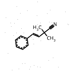 CC(C)(C#N)/C=C/c1ccccc1